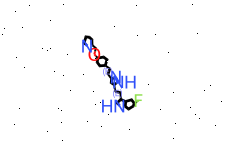 Fc1ccc2[nH]cc(/C=C/c3cc(/C=C/c4ccc(OCc5ccccn5)cc4)n[nH]3)c2c1